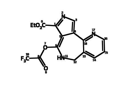 CCOC(=O)C1=NC=C2C1=C(OC(=O)C(F)(F)F)NCc1cccnc12